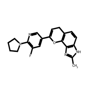 Cc1nc2c3c(ccc2[nH]1)CC=C(c1cnc(N2CCCC2)c(F)c1)O3